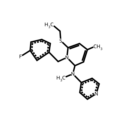 CCSC1=CC(C)=CC(N(C)c2ccncc2)N1Cc1cccc(F)c1